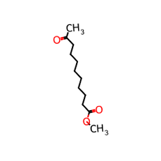 COC(=O)CCCCCCCCC(C)=O